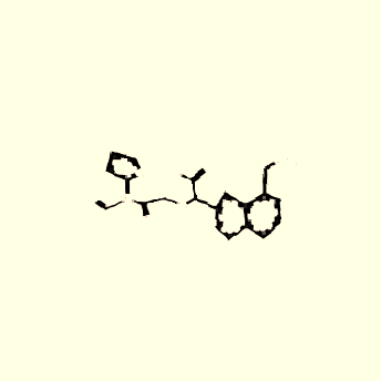 CCc1cccc2ccc(C(SCC(=O)N(C=O)c3cccs3)C(=O)O)cc12